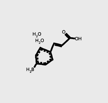 Bc1ccc(C=CC(=O)O)cc1.O.O